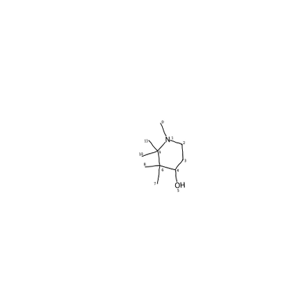 CN1CCC(O)C(C)(C)C1(C)C